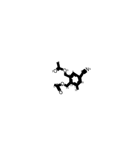 CC(=O)OCc1cc(C#N)cc(C)c1COC(C)=O